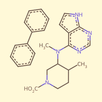 CC1CCN(C(=O)O)CC1N(C)c1ncnc2[nH]ccc12.c1ccc(-c2ccccc2)cc1